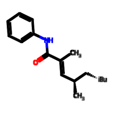 CC[C@@H](C)C[C@@H](C)/C=C(\C)C(=O)Nc1ccccc1